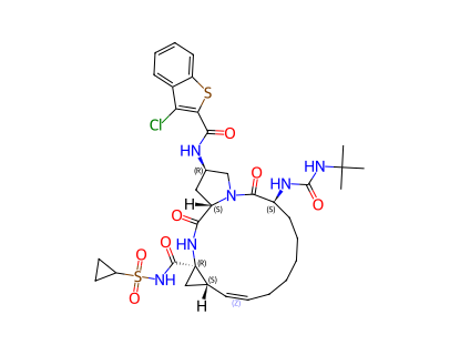 CC(C)(C)NC(=O)N[C@H]1CCCCC/C=C\[C@@H]2C[C@@]2(C(=O)NS(=O)(=O)C2CC2)NC(=O)[C@@H]2C[C@@H](NC(=O)c3sc4ccccc4c3Cl)CN2C1=O